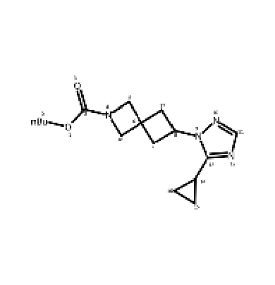 CCCCOC(=O)N1CC2(CC(n3ncnc3C3CC3)C2)C1